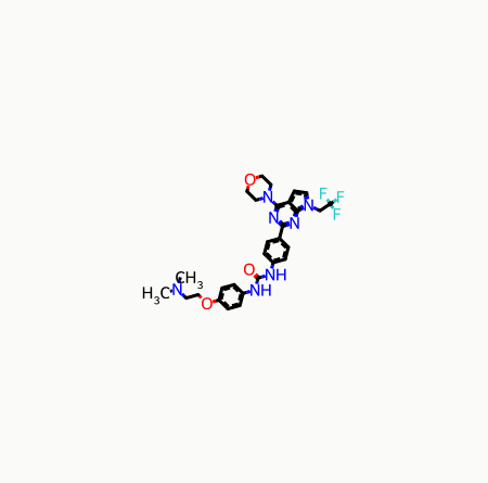 CN(C)CCOc1ccc(NC(=O)Nc2ccc(-c3nc(N4CCOCC4)c4ccn(CC(F)(F)F)c4n3)cc2)cc1